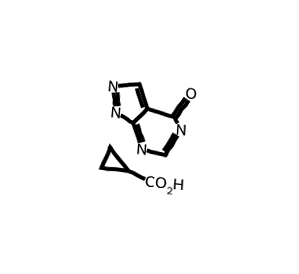 O=C(O)C1CC1.O=C1N=CN=C2N=NC=C12